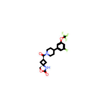 O=C1N[C@]2(CO1)C[C@H](C(=O)N1CCC(c3cc(F)cc(OC(F)(F)F)c3)CC1)C2